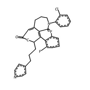 O=C1C=C2CCCN(c3ccccc3Cl)C(=O)C2=C(c2c(F)cccc2F)C(CCCc2ccncc2)C1